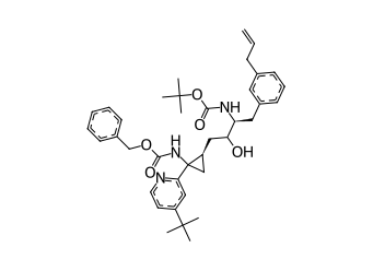 C=CCc1cccc(C[C@H](NC(=O)OC(C)(C)C)C(O)C[C@H]2CC2(NC(=O)OCc2ccccc2)c2cc(C(C)(C)C)ccn2)c1